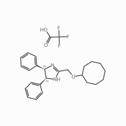 O=C(O)C(F)(F)F.c1ccc([C@H]2N=C(COC3CCCCCCC3)N[C@H]2c2ccccc2)cc1